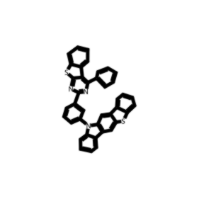 c1ccc(-c2nc(-c3cccc(-n4c5ccccc5c5cc6sc7ccccc7c6cc54)c3)nc3sc4ccccc4c23)cc1